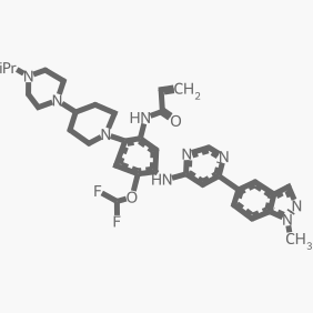 C=CC(=O)Nc1cc(Nc2cc(-c3ccc4c(cnn4C)c3)ncn2)c(OC(F)F)cc1N1CCC(N2CCN(C(C)C)CC2)CC1